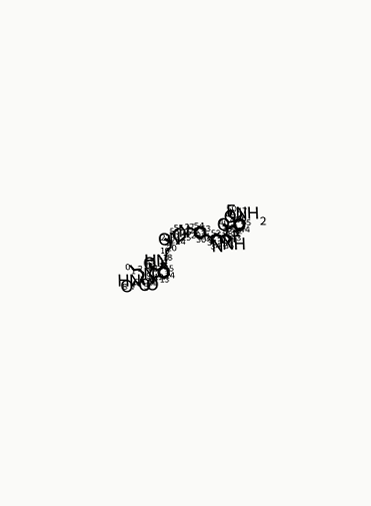 CCCC(C(=O)NC=O)N1C(=O)c2cccc(NCCCC(=O)N3CCN(Cc4ccc(-c5cnc6[nH]cc(C(=O)c7c(F)ccc(N)c7OF)c6c5)cc4)CC3)c2C1=O